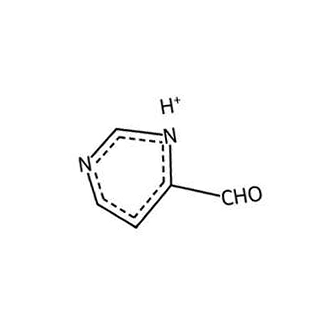 O=Cc1ccncn1.[H+]